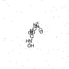 CN(c1ccc2c(c1)nc(C(C)(C)C)n2CC1CCOCC1)S(=O)(=O)c1ccc(CNCCO)cc1